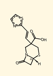 O=C1C[C@H]2SCC(C=Cc3nccs3)(C(=O)O)CN12